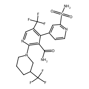 NC(=O)c1c(N2CCCC(C(F)(F)F)C2)ncc(C(F)(F)F)c1-c1ccnc(S(N)(=O)=O)c1